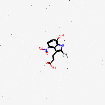 Cc1[nH]c2c(O)ccc([N+](=O)[O-])c2c1CCC(=O)O